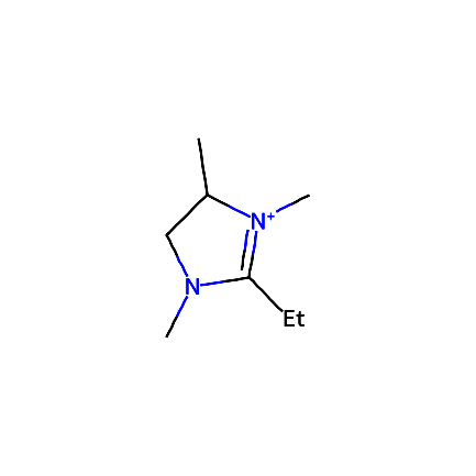 CCC1=[N+](C)C(C)CN1C